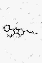 CCOC=Cc1cnc2c(N)n(-c3ccccc3)nc2c1